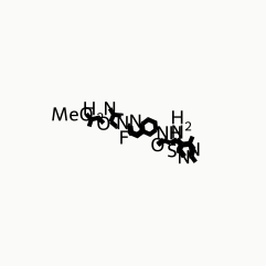 COC(C)COC1CN(c2nc3c(cc2F)CC(NC(=O)c2sc4nc(C)nc(C)c4c2N)CC3)CC1N